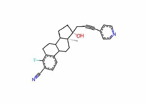 C[C@]12CCC3c4ccc(C#N)c(F)c4CCC3C1CC[C@@]2(O)CC#Cc1ccncc1